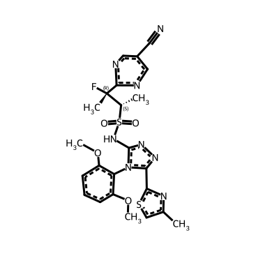 COc1cccc(OC)c1-n1c(NS(=O)(=O)[C@@H](C)[C@](C)(F)c2ncc(C#N)cn2)nnc1-c1nc(C)cs1